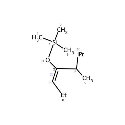 CC/C=C(/O[Si](C)(C)C)C(C)C(C)C